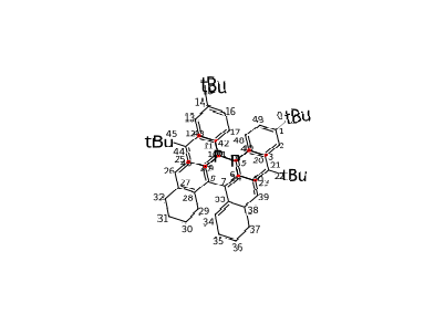 CC(C)(C)c1ccc(P(C2=C(c3c(P(c4ccc(C(C)(C)C)cc4)c4ccc(C(C)(C)C)cc4)ccc4c3CCCC4)C3=CCCCC3C=C2)c2ccc(C(C)(C)C)cc2)cc1